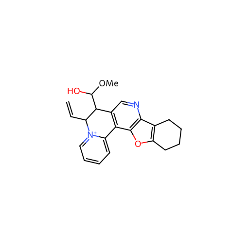 C=CC1C(C(O)OC)c2cnc3c4c(oc3c2-c2cccc[n+]21)CCCC4